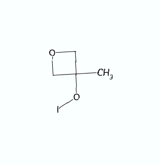 CC1(OI)COC1